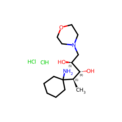 C[C@H]([C@@H](O)[C@@H](O)CN1CCOCC1)C1(N)CCCCC1.Cl.Cl